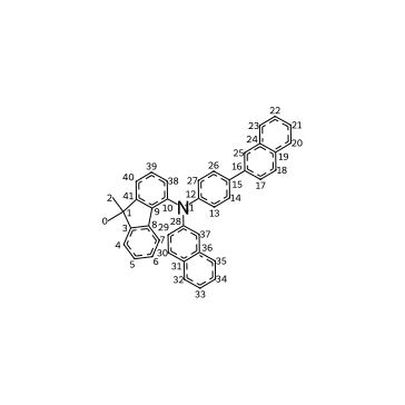 CC1(C)c2ccccc2-c2c(N(c3ccc(-c4ccc5ccccc5c4)cc3)c3ccc4ccccc4c3)cccc21